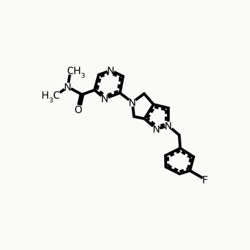 CN(C)C(=O)c1cncc(N2Cc3cn(Cc4cccc(F)c4)nc3C2)n1